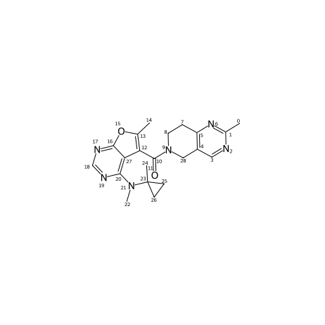 Cc1ncc2c(n1)CCN(C(=O)c1c(C)oc3ncnc(N(C)C4(C)CC4)c13)C2